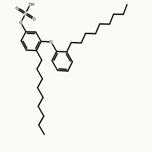 CCCCCCCCCc1ccccc1Oc1cc(OS(=O)(=O)O)ccc1CCCCCCCCC